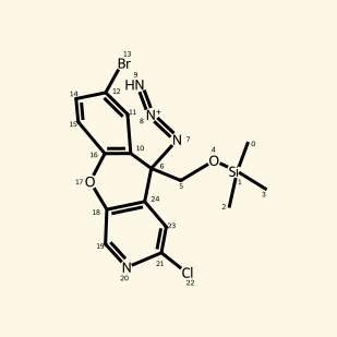 C[Si](C)(C)OCC1(N=[N+]=N)c2cc(Br)ccc2Oc2cnc(Cl)cc21